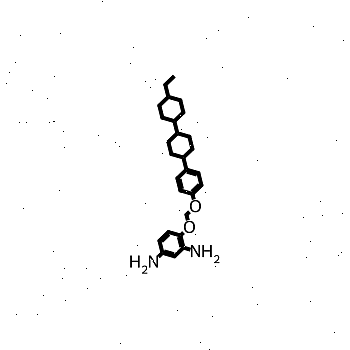 CCC1CCC(C2CCC(c3ccc(OCOc4ccc(N)cc4N)cc3)CC2)CC1